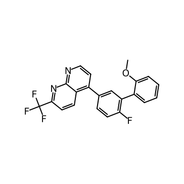 COc1ccccc1-c1cc(-c2ccnc3nc(C(F)(F)F)ccc23)ccc1F